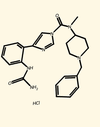 CN(C(=O)n1cnc(-c2ccccc2NC(N)=O)c1)C1CCN(Cc2ccccc2)CC1.Cl